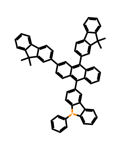 CC1(C)c2ccccc2-c2ccc(-c3ccc4c(-c5ccc6c(c5)c5ccccc5p6-c5ccccc5)c5ccccc5c(-c5ccc6c(c5)C(C)(C)c5ccccc5-6)c4c3)cc21